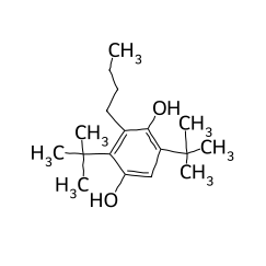 CCCCc1c(O)c(C(C)(C)C)cc(O)c1C(C)(C)C